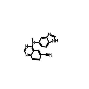 CN(c1ccc2[nH]cnc2c1)c1ncnc2ccc(C#N)cc12